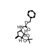 C=C1C[C@@H](NC(=O)OCc2ccccc2)[C@@H]2OC(C)(C)O[C@H]12